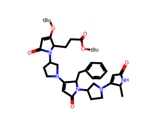 CC1NC(=O)C=C1N1CCC(N2C(=O)C=C(N3CCC(N4C(=O)C=C(OC(C)(C)C)C4CCC(=O)OC(C)(C)C)C3)C2Cc2ccccc2)C1